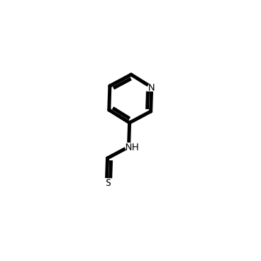 S=CNc1cccnc1